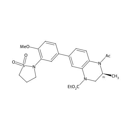 CCOC(=O)N1C[C@H](C)N(C(C)=O)c2ccc(-c3ccc(OC)c(N4CCCS4(=O)=O)c3)cc21